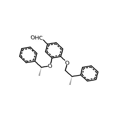 C[C@H](COc1ccc(C=O)cc1O[C@H](C)c1ccccc1)c1ccccc1